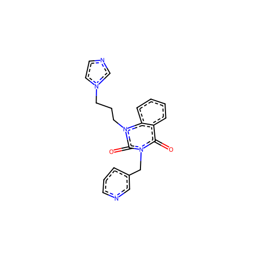 O=c1c2ccccc2n(CCCn2ccnc2)c(=O)n1Cc1cccnc1